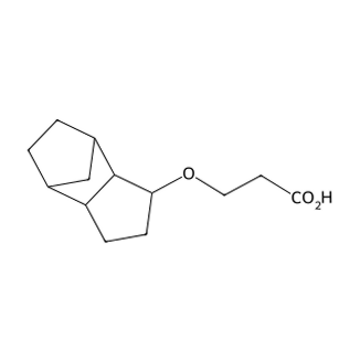 O=C(O)CCOC1CCC2C3CCC(C3)C12